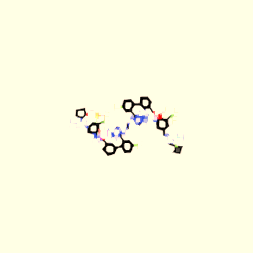 O[C@H]1CCC[C@H]1Nc1cc(C(F)(F)F)c2oc(-c3cccc(-c4ccc(F)cc4-c4nncn4CCn4cnnc4-c4cc(F)ccc4-c4cccc(-c5nc6cc(CNCC7(F)CCC7)cc(C(F)(F)F)c6o5)c4)c3)nc2c1